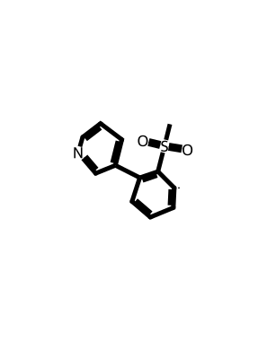 CS(=O)(=O)c1[c]cccc1-c1cccnc1